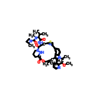 CCn1c(-c2cccnc2[C@H](C)OC)c2c3cc(ccc31)-c1csc(n1)C[C@H](NC(=O)C(C(C)C)N(C)C(=O)N1CC[C@@H]1C)C(=O)N1CCC[C@H](N1)C(=O)OCC(C)(C)C2